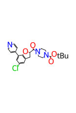 CC(C)(C)OC(=O)N1CCN(C(=O)C2Cc3cc(Cl)cc(-c4ccncc4)c3O2)CC1